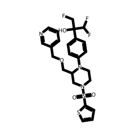 O=S(=O)(c1cccs1)N1CCN(c2ccc(C(O)(CF)C(F)F)cc2)C(COCc2cccnc2)C1